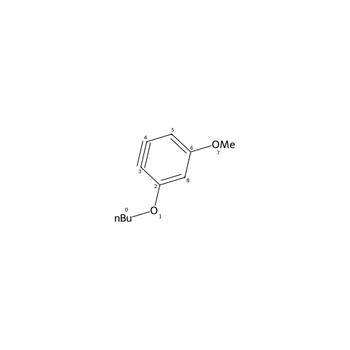 CCCCOc1c#ccc(OC)c1